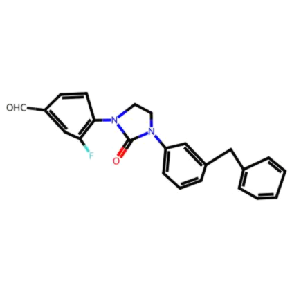 O=Cc1ccc(N2CCN(c3cccc(Cc4ccccc4)c3)C2=O)c(F)c1